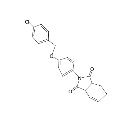 O=C1C2C=CCCC2C(=O)N1c1ccc(OCc2ccc(Cl)cc2)cc1